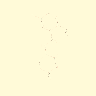 Nc1ccc(C=O)c(C(=O)NC2CCC(=O)NC2=O)c1